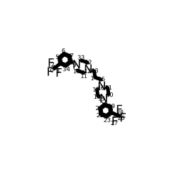 FC(F)(F)c1cccc(N2CCN(CCCN3CCN(c4cccc(C(F)(F)F)c4)CC3)CC2)c1